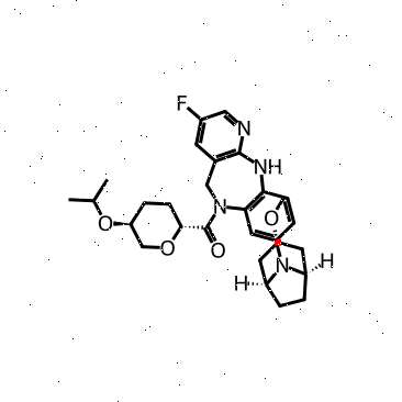 CO[C@@H]1C[C@H]2CC[C@@H](C1)N2c1ccc2c(c1)N(C(=O)[C@H]1CC[C@H](OC(C)C)CO1)Cc1cc(F)cnc1N2